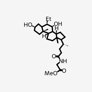 CC[C@@H]1C2C[C@H](O)CC[C@@]2(C)[C@H]2CCC3(C)C([C@H](C)CCC(=O)NCC(=O)OC)CC[C@H]3C2[C@@H]1O